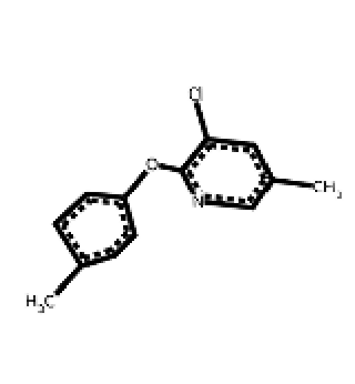 Cc1ccc(Oc2ncc(C)cc2Cl)cc1